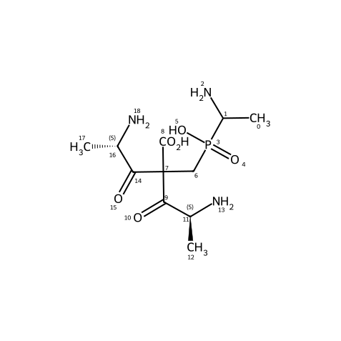 CC(N)P(=O)(O)CC(C(=O)O)(C(=O)[C@H](C)N)C(=O)[C@H](C)N